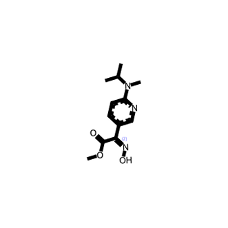 COC(=O)/C(=N\O)c1ccc(N(C)C(C)C)nc1